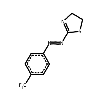 FC(F)(F)c1ccc(N=NC2=NCCS2)cc1